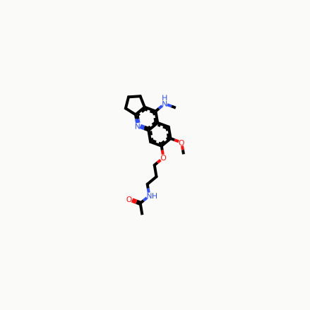 CNc1c2c(nc3cc(OCCCNC(C)=O)c(OC)cc13)CCC2